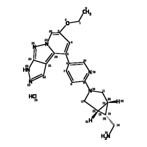 CCOc1cc(-c2ccc(N3C[C@@H]4[C@H](CN)[C@@H]4C3)nc2)c2c3cn[nH]c3nn2c1.Cl